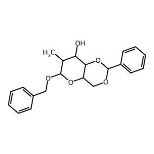 CC1C(OCc2ccccc2)OC2COC(c3ccccc3)OC2C1O